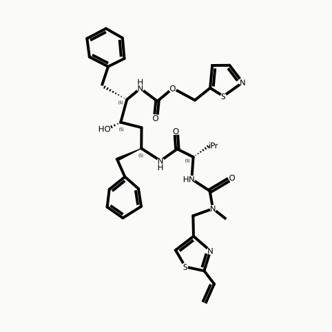 C=Cc1nc(CN(C)C(=O)N[C@H](C(=O)N[C@@H](Cc2ccccc2)C[C@H](O)[C@H](Cc2ccccc2)NC(=O)OCc2ccns2)C(C)C)cs1